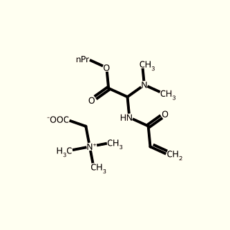 C=CC(=O)NC(C(=O)OCCC)N(C)C.C[N+](C)(C)CC(=O)[O-]